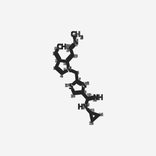 C/C=c1/ccn(Cc2nc(C(=N)NC3CC3)cs2)/c1=C/C=N/C